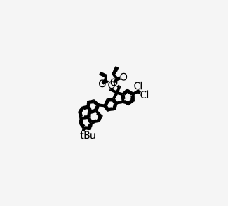 C=CC(=O)OCC1(COC(=O)C=C)c2cc(-c3ccc4ccc5cc(C(C)(C)C)cc6ccc3c4c56)ccc2-c2ccc(C(Cl)Cl)cc21